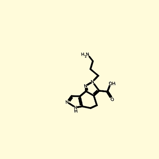 NCCCn1nc2c(c1C(=O)O)CCc1[nH]ncc1-2